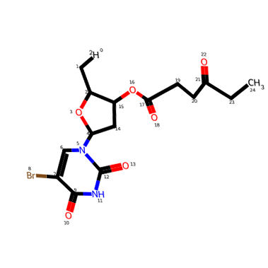 [2H]CC1OC(n2cc(Br)c(=O)[nH]c2=O)CC1OC(=O)CCC(=O)CC